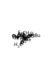 CO[C@@H]1CN(C)C[C@H]1Oc1nc(N2CCN(C(=O)OC(C)(C)C)CC2)c2cc(C)nc(Oc3c(Cl)c(F)cc4c3cnn4C3CCCCO3)c2n1